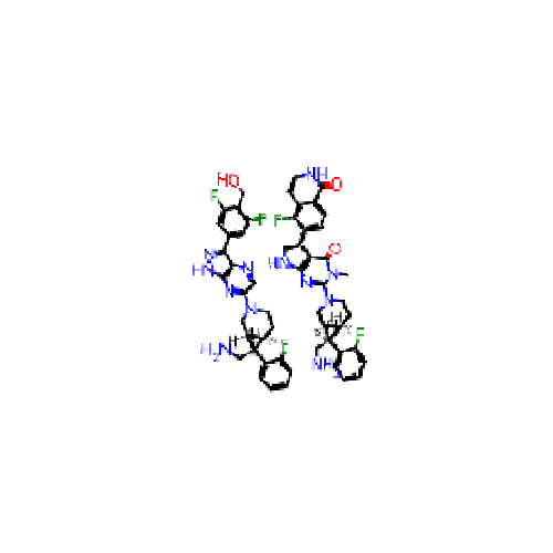 Cn1c(N2CC[C@@H]3[C@H](C2)[C@@]3(CN)c2ccccc2F)nc2[nH]cc(-c3ccc4c(=O)[nH]ccc4c3F)c2c1=O.NC[C@]1(c2ccccc2F)[C@@H]2CCN(c3cnc4c(-c5cc(F)c(CO)c(F)c5)n[nH]c4n3)C[C@@H]21